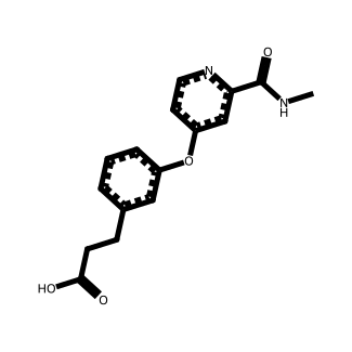 CNC(=O)c1cc(Oc2cccc(CCC(=O)O)c2)ccn1